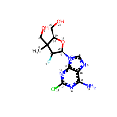 CC1(CO)C(F)[C@H](n2cnc3c(N)nc(Cl)nc32)O[C@@H]1CO